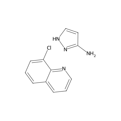 Clc1cccc2cccnc12.Nc1cc[nH]n1